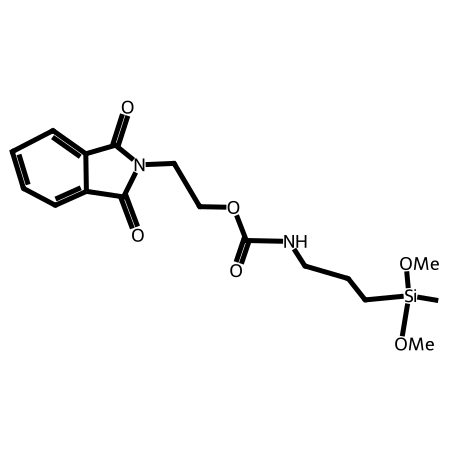 CO[Si](C)(CCCNC(=O)OCCN1C(=O)c2ccccc2C1=O)OC